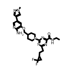 CCNC(=O)c1nc(CCC2CC2(F)F)nc(N2CCC(COc3cc(-c4cnn(C)c4)cnc3N)CC2)n1